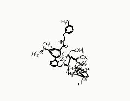 COc1c(CN2O[C@@H](CO)C(C(C)O)[C@H]2C(=O)N[C@H]2C[C@H]3C[C@@H]([C@@H]2C)C3(C)C)cccc1-c1cc(C(=O)NCCc2cccc(N)c2)cc(N(C)C)c1